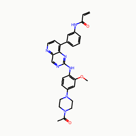 C=CC(=O)Nc1cccc(-c2ccnc3cnc(Nc4ccc(N5CCN(C(C)=O)CC5)cc4OC)nc23)c1